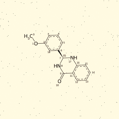 COc1cccc([C@@H]2NC(=O)c3ccccc3N2)c1